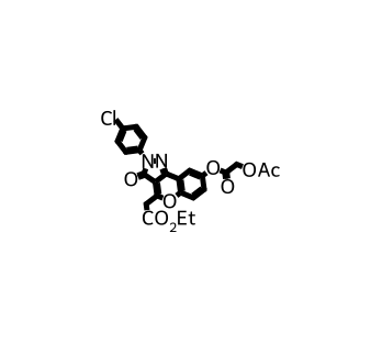 CCOC(=O)Cc1oc2ccc(OC(=O)COC(C)=O)cc2c2nn(-c3ccc(Cl)cc3)c(=O)c1-2